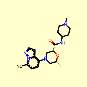 C[C@@H]1CN(c2ccc(C#N)n3nccc23)C[C@H](C(=O)NC2CCN(C)CC2)O1